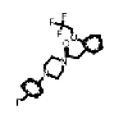 O=C(Cc1ccccc1OCC(F)(F)F)N1CCN(c2ccc(F)cc2)CC1